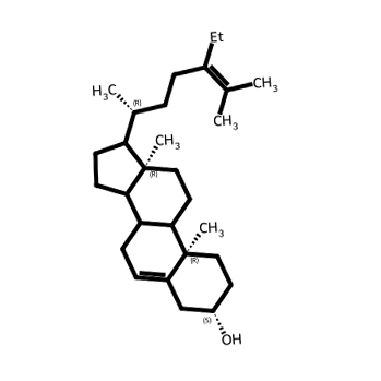 CCC(CC[C@@H](C)C1CCC2C3CC=C4C[C@@H](O)CC[C@]4(C)C3CC[C@@]21C)=C(C)C